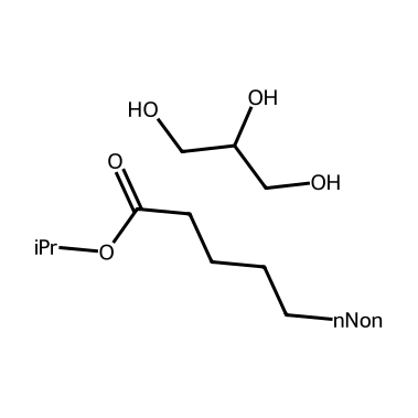 CCCCCCCCCCCCCC(=O)OC(C)C.OCC(O)CO